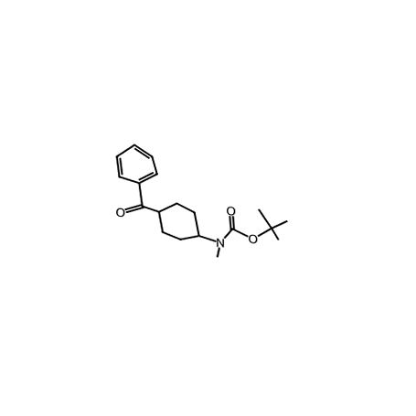 CN(C(=O)OC(C)(C)C)C1CCC(C(=O)c2ccccc2)CC1